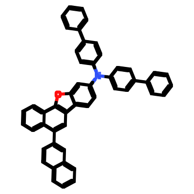 c1ccc(-c2ccc(N(c3ccc(-c4ccccc4)cc3)c3ccc4c(c3)oc3c5ccccc5c(-c5ccc6ccccc6c5)cc43)cc2)cc1